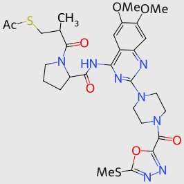 COc1cc2nc(N3CCN(C(=O)c4nnc(SC)o4)CC3)nc(NC(=O)C3CCCN3C(=O)C(C)CSC(C)=O)c2cc1OC